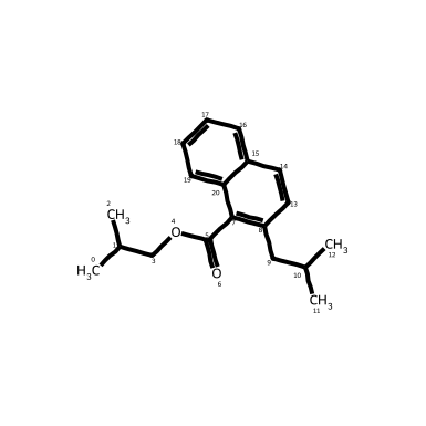 CC(C)COC(=O)c1c(CC(C)C)ccc2ccccc12